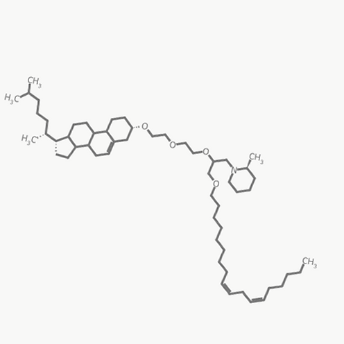 CCCCC/C=C\C/C=C\CCCCCCCCOCC(CN1CCCC[C@@H]1C)OCCOCCO[C@H]1CCC2C(=CCC3C2CCC2C3CC[C@@H]2[C@H](C)CCCC(C)C)C1